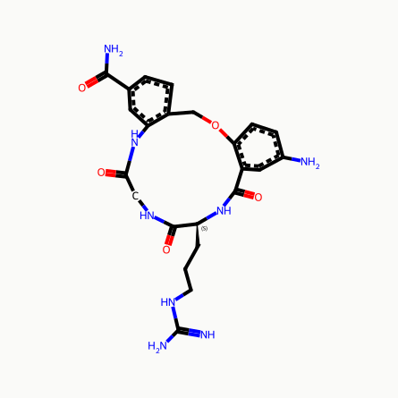 N=C(N)NCCC[C@@H]1NC(=O)c2cc(N)ccc2OCc2ccc(C(N)=O)cc2NC(=O)CNC1=O